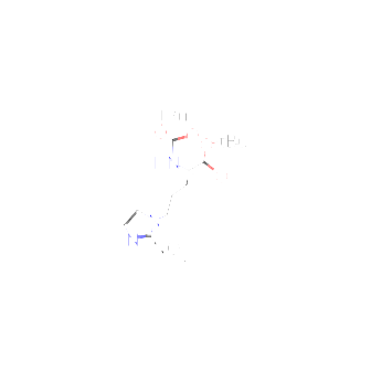 CC(C)(C)OC(=O)N[C@H](CCCn1ccnc1[N+](=O)[O-])C(=O)OC(C)(C)C